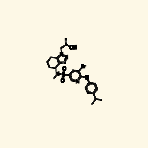 C=C(O)Cn1ncc2c1CCC[C@H]2N(C)S(=O)(=O)c1cnc(Oc2ccc(C(C)C)cc2)c(Br)c1